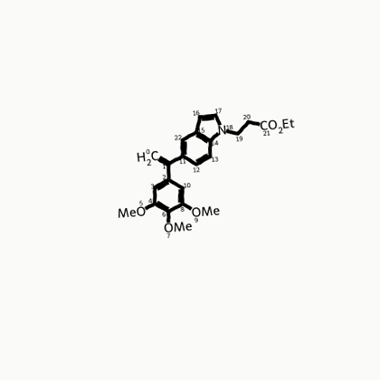 C=C(c1cc(OC)c(OC)c(OC)c1)c1ccc2c(ccn2CCC(=O)OCC)c1